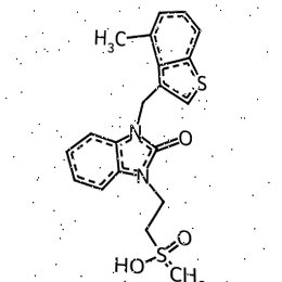 C=S(=O)(O)CCn1c(=O)n(Cc2csc3cccc(C)c23)c2ccccc21